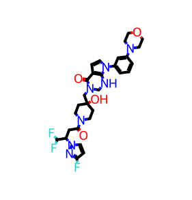 O=C(CC(C(F)F)n1ccc(F)n1)N1CCC(O)(CN2CNc3c(ccn3-c3cccc(N4CCOCC4)c3)C2=O)CC1